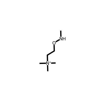 CNOCC[N+](C)(C)C